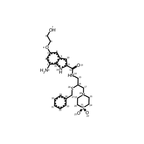 Nc1cc(OCCO)cc2cc(C(=O)NCC(CN3CCS(=O)(=O)CC3)SCc3ccccc3)[nH]c12